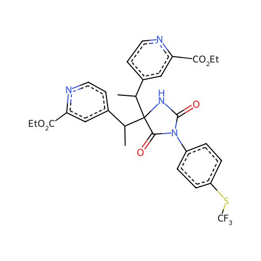 CCOC(=O)c1cc(C(C)C2(C(C)c3ccnc(C(=O)OCC)c3)NC(=O)N(c3ccc(SC(F)(F)F)cc3)C2=O)ccn1